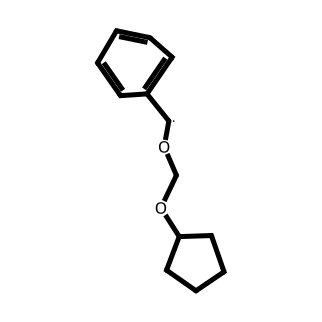 [CH](OCOC1CCCC1)c1ccccc1